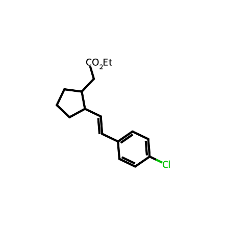 CCOC(=O)CC1CCCC1C=Cc1ccc(Cl)cc1